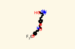 OCCC1(CCCCc2ccc(OCc3coc(C=Cc4ccc(OC(F)(F)F)cc4)n3)cc2)N=NN=N1